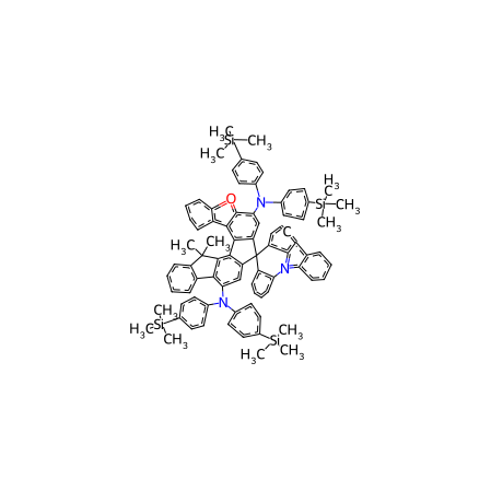 CC1(C)c2ccccc2-c2c(N(c3ccc([Si](C)(C)C)cc3)c3ccc([Si](C)(C)C)cc3)cc3c(c21)-c1c(cc(N(c2ccc([Si](C)(C)C)cc2)c2ccc([Si](C)(C)C)cc2)c2oc4ccccc4c12)C31c2ccccc2-n2c3ccccc3c3cccc1c32